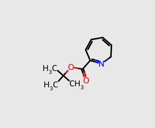 CC(C)(C)OC(=O)C1=NCC=CC=C1